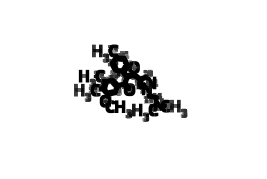 COc1cc(C(=O)c2c(-c3cnn(CCN(C)C)c3)oc3cc(C)ccc23)cc(C)c1C